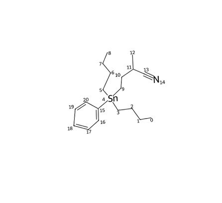 CCC[CH2][Sn]([CH2]CCC)([CH2]CC(C)C#N)[c]1ccccc1